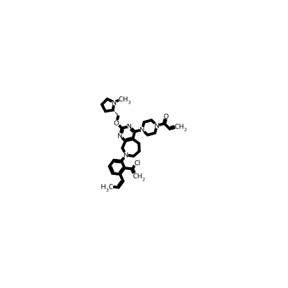 C=CC(=O)N1CCN(c2nc(OC[C@@H]3CCCN3C)nc3c2CCCN(c2cccc(/C=C\C)c2C(=C)Cl)C3)CC1